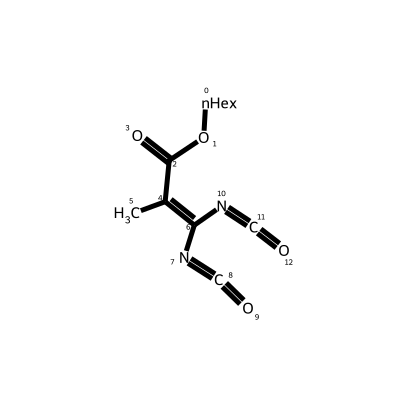 CCCCCCOC(=O)C(C)=C(N=C=O)N=C=O